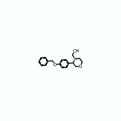 N#CCN1CCOCC1c1ccc(OCc2ccccc2)cc1